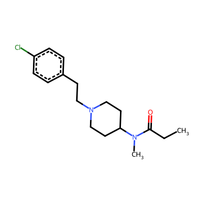 CCC(=O)N(C)C1CCN(CCc2ccc(Cl)cc2)CC1